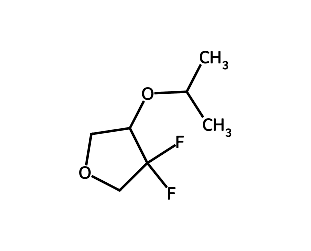 CC(C)OC1COCC1(F)F